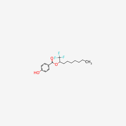 CCCCCCCC(OC(=O)c1ccc(O)cc1)C(F)(F)F